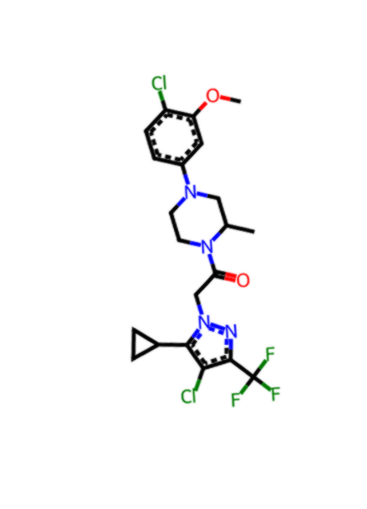 COc1cc(N2CCN(C(=O)Cn3nc(C(F)(F)F)c(Cl)c3C3CC3)C(C)C2)ccc1Cl